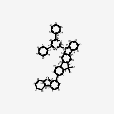 CC1(C)c2cc(-c3cccc4c5c(oc34)C=CCC5)ccc2-c2cc3c(cc21)c1ccccc1n3-c1nc(-c2ccccc2)cc(-c2ccccc2)n1